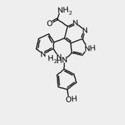 NC(=O)c1nnc2[nH]cc(Nc3ccc(O)cc3)c2c1-c1cccnc1N